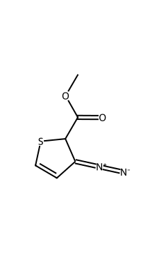 COC(=O)C1SC=CC1=[N+]=[N-]